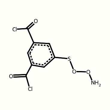 NOOSc1cc(C(=O)Cl)cc(C(=O)Cl)c1